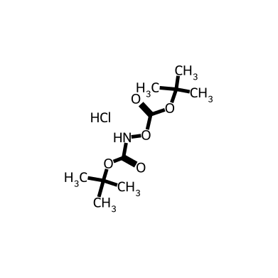 CC(C)(C)OC(=O)NOC(=O)OC(C)(C)C.Cl